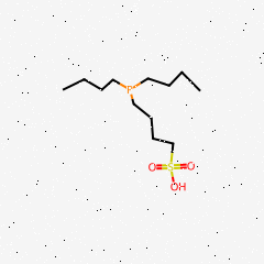 CCCCP(CCCC)CCCCS(=O)(=O)O